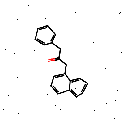 O=C(Cc1ccccc1)Cc1cccc2ccccc12